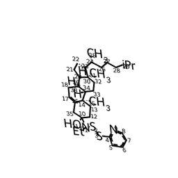 CCN(SSc1ccccn1)C1(O)CC[C@@]2(C)C(=CC[C@H]3[C@@H]4CC[C@H]([C@H](C)CCCC(C)C)[C@@]4(C)CC[C@@H]32)C1